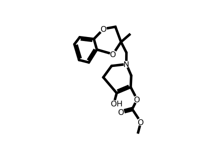 COC(=O)OC1=C(O)CCN(CC2(C)COc3ccccc3O2)C1